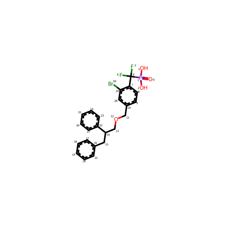 O=P(O)(O)C(F)(F)c1ccc(COCC(Cc2ccccc2)c2ccccc2)cc1Br